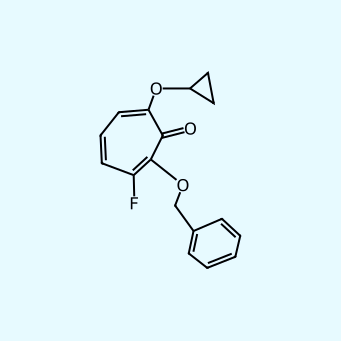 O=c1c(OC2CC2)cccc(F)c1OCc1ccccc1